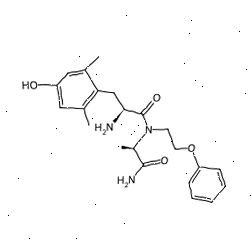 Cc1cc(O)cc(C)c1C[C@H](N)C(=O)N(CCOc1ccccc1)[C@H](C)C(N)=O